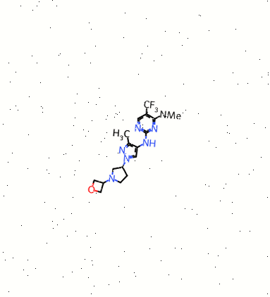 CNc1nc(Nc2cn([C@H]3CCN(C4COC4)C3)nc2C)ncc1C(F)(F)F